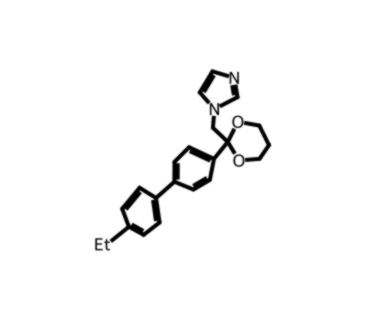 CCc1ccc(-c2ccc(C3(Cn4ccnc4)OCCCO3)cc2)cc1